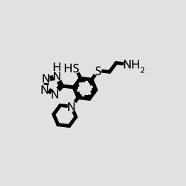 NCCSc1ccc(N2CCCCC2)c(-c2nnn[nH]2)c1S